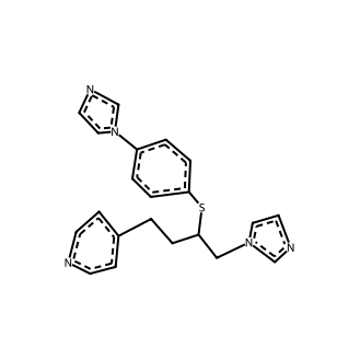 c1cc(CCC(Cn2ccnc2)Sc2ccc(-n3ccnc3)cc2)ccn1